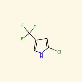 FC(F)(F)c1c[nH]c(Cl)c1